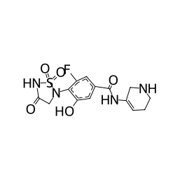 O=C1CN(c2c(O)cc(C(=O)NC3=CCCNC3)cc2F)S(=O)(=O)N1